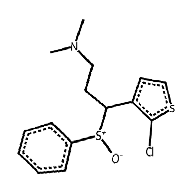 CN(C)CCC(c1ccsc1Cl)[S+]([O-])c1ccccc1